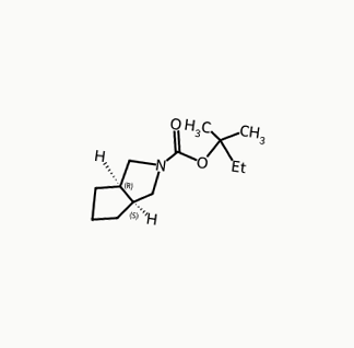 CCC(C)(C)OC(=O)N1C[C@H]2CCC[C@H]2C1